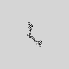 O=C(OCCOCCOC(=O)c1cccc2cc3ccccc3cc12)c1cccc(OCOCCOCCOC(=O)c2c3ccccc3cc3ccccc23)c1